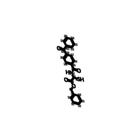 O=C(NC(S)C(=O)OCc1ccccc1)c1ccc(C(=O)c2ccccc2)cc1